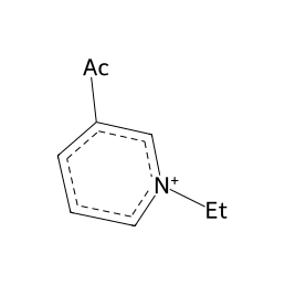 CC[n+]1cccc(C(C)=O)c1